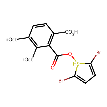 CCCCCCCCc1ccc(C(=O)O)c(C(=O)O[SH]2C(Br)=CC=C2Br)c1CCCCCCCC